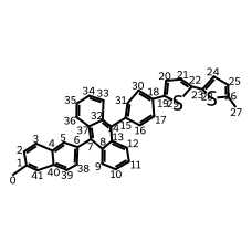 Cc1ccc2cc(-c3c4ccccc4c(-c4ccc(-c5ccc(-c6ccc(C)s6)s5)cc4)c4ccccc34)ccc2c1